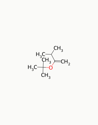 C=C(OC(C)(C)C)C(C)C